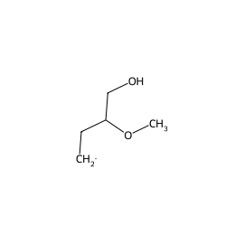 [CH2]CC(CO)OC